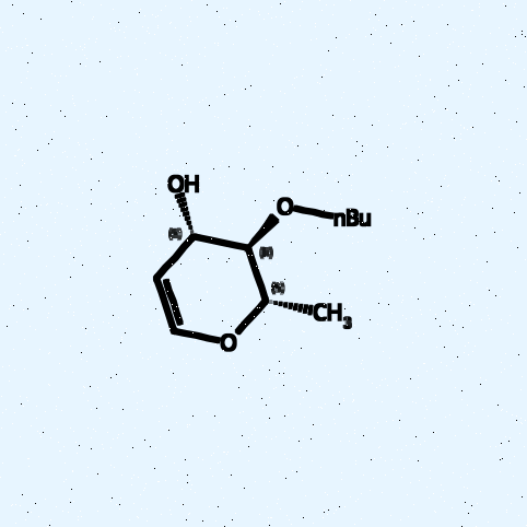 CCCCO[C@H]1[C@H](C)OC=C[C@@H]1O